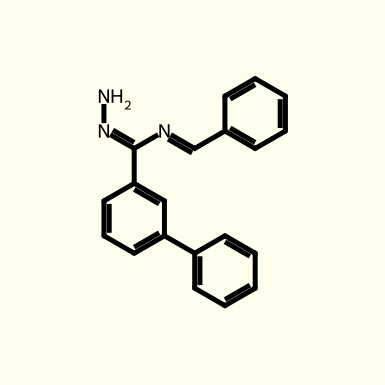 N/N=C(\N=C\c1ccccc1)c1cccc(-c2ccccc2)c1